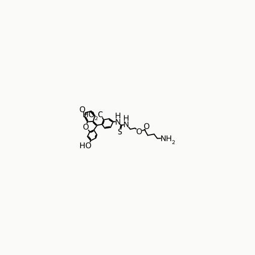 NCCCC(=O)OCCNC(=S)Nc1ccc(-c2c3ccc(=O)cc-3oc3cc(O)ccc23)c(C(=O)O)c1